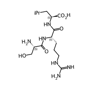 CC(C)C[C@H](NC(=O)[C@H](CCCNC(=N)N)NC(=O)[C@@H](N)CO)C(=O)O